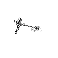 CC(C)(C)[Si](C)(C)OCCCCCCCCCCCOCCO[C@H]1C[C@@]2(C)[C@@H](CCC23OCCO3)[C@@H]2CCc3cc(OCc4ccccc4)ccc3[C@H]21